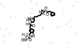 CC(NC(=O)OC(C)(C)C)c1cc(CC(=O)NC2=CC=C(CCCCc3nnc(NC(=O)Cc4ccccc4)s3)NN2)ccc1F